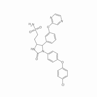 NS(=O)(=O)CCC1NC(=O)N(c2ccc(Oc3ccc(Cl)cc3)cc2)C1c1cccc(Oc2cnccn2)c1